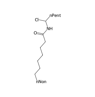 CCCCCCCCCCCCCCCC(=O)NC(Cl)CCCCC